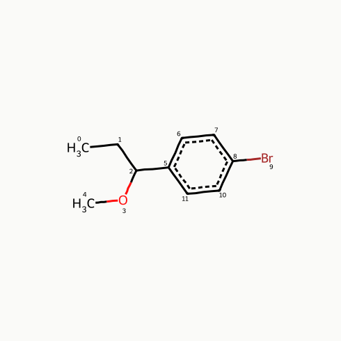 CCC(OC)c1ccc(Br)cc1